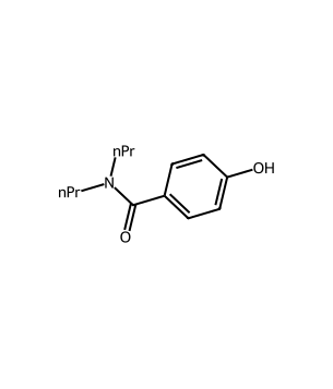 CCCN(CCC)C(=O)c1ccc(O)cc1